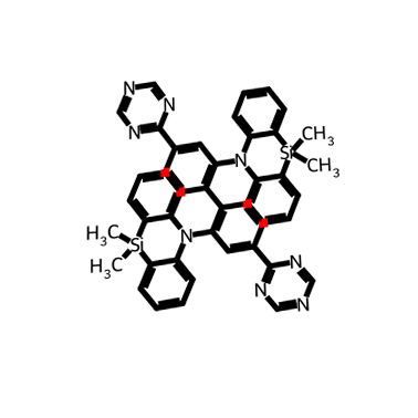 C[Si]1(C)c2ccccc2N(c2cc(-c3ncncn3)ccc2-c2ccc(-c3ncncn3)cc2N2c3ccccc3[Si](C)(C)c3ccccc32)c2ccccc21